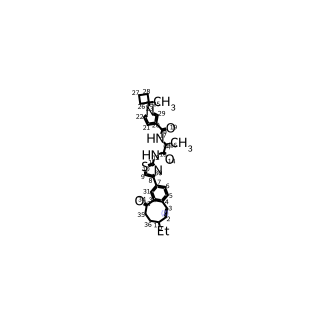 CCC1/C=C\c2ccc(-c3csc(NC(=O)[C@H](C)NC(=O)c4ccn(C5(C)CCC5)c4)n3)cc2C(=O)CC1